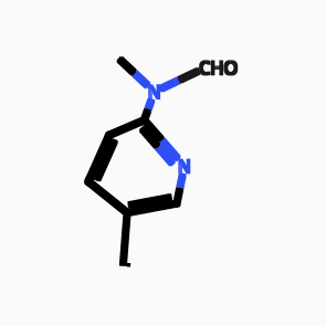 [CH2]c1ccc(N(C)C=O)nc1